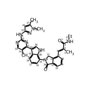 CCNC(=O)/C(C)=C/c1cccc2c1CN(c1cccc3c(-c4nc(Nc5cc(C)n(C)n5)ncc4C)c[nH]c13)C2=O